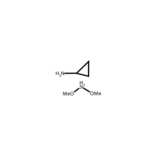 CO[SiH2]OC.NC1CC1